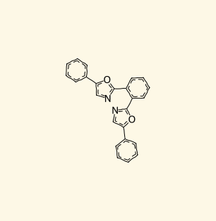 c1ccc(-c2cnc(-c3ccccc3-c3ncc(-c4ccccc4)o3)o2)cc1